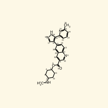 CNC1CCC(OC(=O)c2cnc3ccc(-c4cn[nH]c4-c4cccc(C)n4)cc3c2)CC1